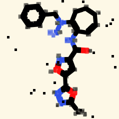 Cc1nnc(-c2cc(C(=O)NC3=C(N(N)Cc4ccccc4)CCCC=C3)no2)o1